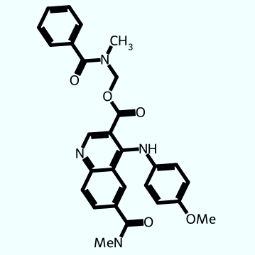 CNC(=O)c1ccc2ncc(C(=O)OCN(C)C(=O)c3ccccc3)c(Nc3ccc(OC)cc3)c2c1